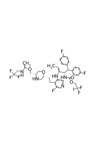 C=C(NCC(F)(F)F)OC[C@@H]1CO[C@H](CCc2c(F)cncc2NC(=CC)[C@@H](NC(=O)OCC(F)(F)I)C(c2ccc(F)cc2)c2ccc(F)cc2)CN1